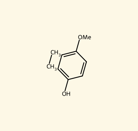 CC.COc1ccc(O)cc1